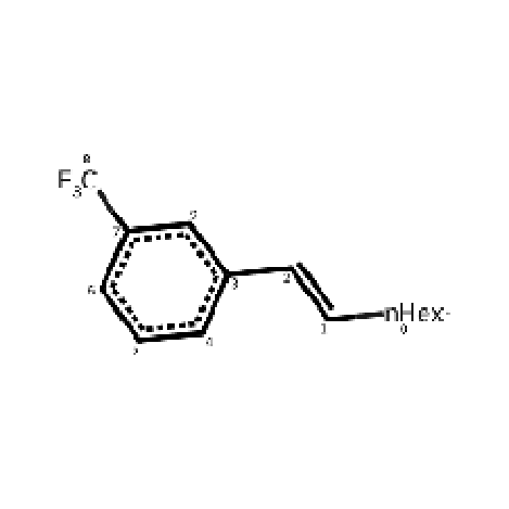 CCCCC[CH]C=Cc1cccc(C(F)(F)F)c1